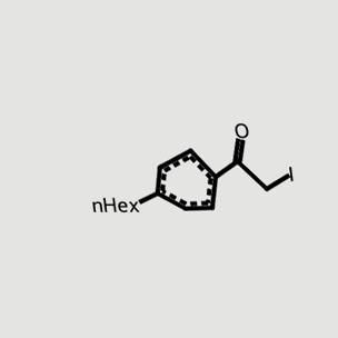 CCCCCCc1ccc(C(=O)CI)cc1